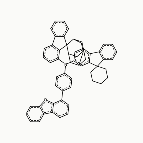 c1ccc2c(c1)-c1ccc(N(c3ccc(-c4cccc5c4oc4ccccc45)cc3)c3cccc4c3C3(c5ccccc5-4)C4CCC5CC(C4)CC3C5)cc1C21CCCCC1